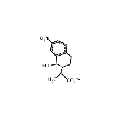 CCOC(=O)C(C)N1CCc2ccc([N+](=O)[O-])cc2C1C